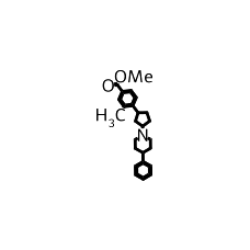 COC(=O)c1ccc(C2CCC(N3CCC(c4ccccc4)CC3)C2)c(C)c1